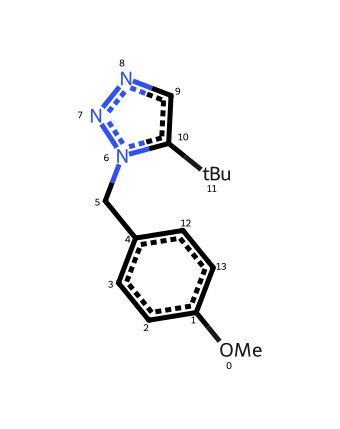 COc1ccc(Cn2nncc2C(C)(C)C)cc1